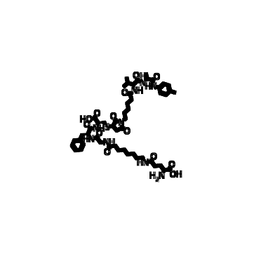 Cc1ccc(NC(=O)C(C)NC(=O)[C@@H](NC(=O)CCCCCN2C(=O)CC(SC[C@@H](NC(=O)[C@H](Cc3ccccc3)NC(=O)CNC(=O)CCCCCCCNC(=O)CCC(N)C(=O)O)C(=O)O)C2=O)C(C)C)cc1